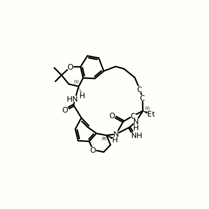 CC[C@@]12CCCCCc3ccc4c(c3)[C@H](CC(C)(C)O4)NC(=O)c3ccc4c(c3)[C@@H](CCO4)N(C(=N)N1)C(=O)C2